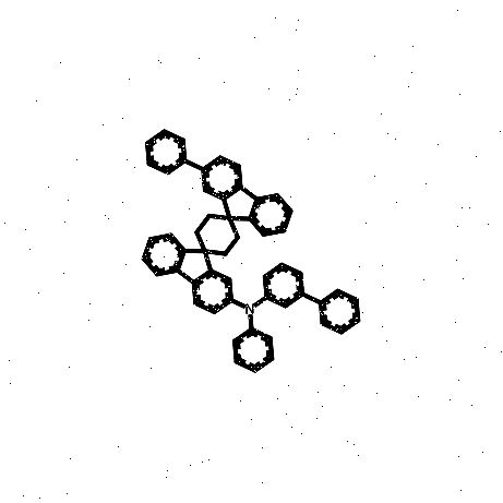 c1ccc(-c2cccc(N(c3ccccc3)c3ccc4c(c3)C3(CCC5(CC3)c3ccccc3-c3ccc(-c6ccccc6)cc35)c3ccccc3-4)c2)cc1